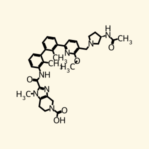 COc1nc(-c2cccc(-c3cccc(NC(=O)c4nc5c(n4C)CCN(C(=O)O)C5)c3C)c2C)ccc1CN1CC[C@@H](NC(C)=O)C1